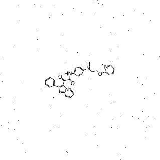 O=C(Nc1ccc(NCCOc2ccccn2)cc1)C(=O)c1c(-c2ccccc2)cc2ccccn12